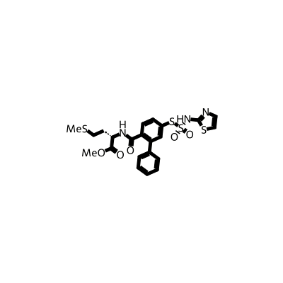 COC(=O)[C@H](CCSC)NC(=O)c1ccc(SS(=O)(=O)Nc2nccs2)cc1-c1ccccc1